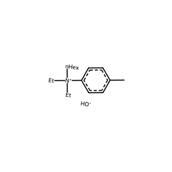 CCCCCC[N+](CC)(CC)c1ccc(C)cc1.[OH-]